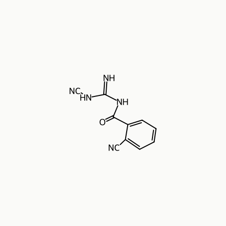 N#CNC(=N)NC(=O)c1ccccc1C#N